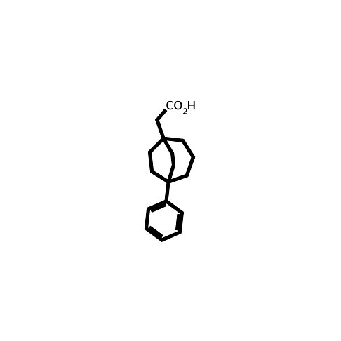 O=C(O)CC12CCCC(c3ccccc3)(CC1)CC2